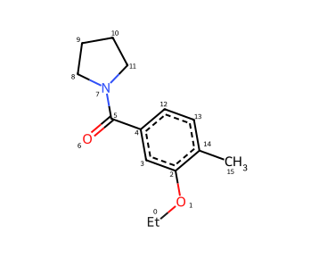 CCOc1cc(C(=O)N2CCCC2)ccc1C